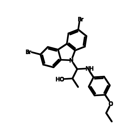 CCOc1ccc(NC(C(C)O)n2c3ccc(Br)cc3c3cc(Br)ccc32)cc1